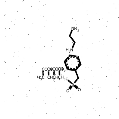 CC(=O)O.CC(=O)O.CC(=O)O.CC(=O)O.NCCN.O=S(=O)(F)Cc1ccccc1